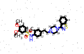 COc1ccc(S(=O)(=O)Nc2ccc(CCN3CCN(c4nsc5ccccc45)CC3)cc2C)cc1OC